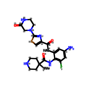 CNC1(C(=O)Nc2c(F)cc(N)cc2[AsH]C(=O)c2csc(N3CCNC(=O)C3)n2)CCNCC1